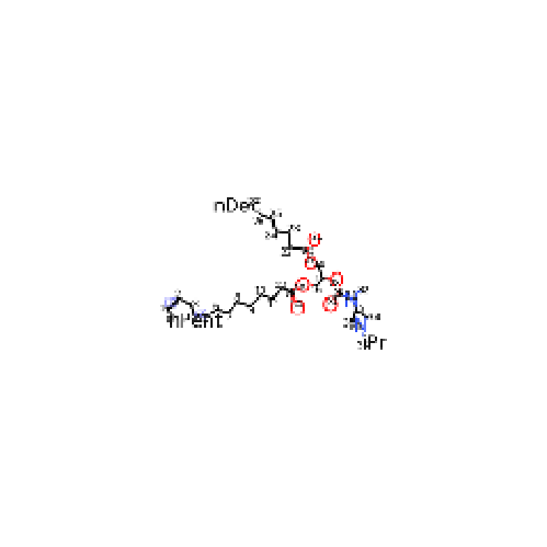 CCCCC/C=C\C/C=C\CCCCCCCC(=O)OCC(COC(=O)CCCCCCCCCCCCCCC)OC(=O)N(C)C1CN(C(C)C)C1